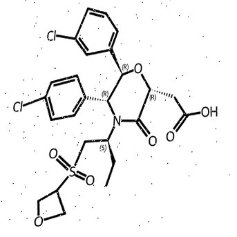 CC[C@@H](CS(=O)(=O)C1COC1)N1C(=O)[C@@H](CC(=O)O)O[C@H](c2cccc(Cl)c2)[C@H]1c1ccc(Cl)cc1